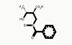 CCN(C[C@H](C(=O)O)[C@H](O)C(F)(F)F)C(=O)c1ccccc1